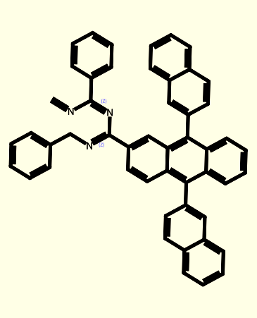 C=N/C(=N\C(=N/Cc1ccccc1)c1ccc2c(-c3ccc4ccccc4c3)c3ccccc3c(-c3ccc4ccccc4c3)c2c1)c1ccccc1